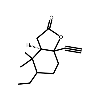 C#CC12CCC(CC)C(C)(C)[C@H]1CC(=O)O2